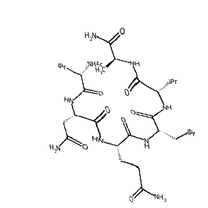 CC(=O)N[C@H](C(=O)N[C@@H](CC(N)=O)C(=O)N[C@@H](CCC(N)=O)C(=O)N[C@@H](CC(C)C)C(=O)N[C@H](C(=O)N[C@@H](C)C(N)=O)C(C)C)C(C)C